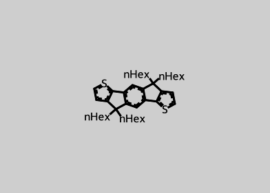 CCCCCCC1(CCCCCC)c2cc3c(cc2-c2sccc21)C(CCCCCC)(CCCCCC)c1ccsc1-3